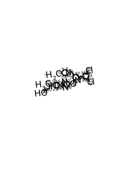 [CH2]C1CCN(Cc2cc(Oc3cnc(N4CCN(C(C)CCO)CC4)nc3)nc(-c3cc(Cl)cc(Cl)c3)c2)CC1